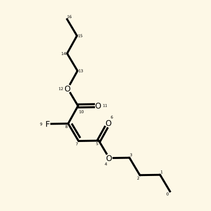 CCCCOC(=O)/C=C(/F)C(=O)OCCCC